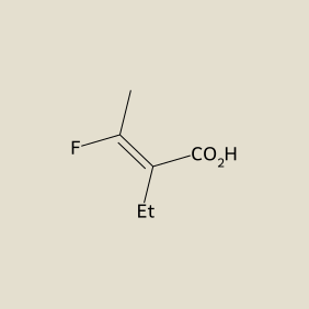 CCC(C(=O)O)=C(C)F